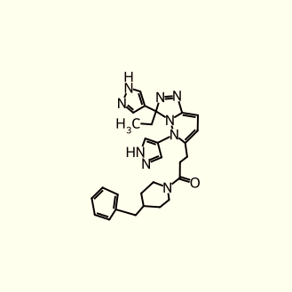 CCC1(c2cn[nH]c2)N=NC2=CC=C(CCC(=O)N3CCC(Cc4ccccc4)CC3)N(c3cn[nH]c3)N21